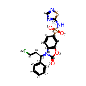 O=c1oc2cc(S(=O)(=O)Nc3ncns3)ccc2n1[C@H](CCF)c1ccccc1